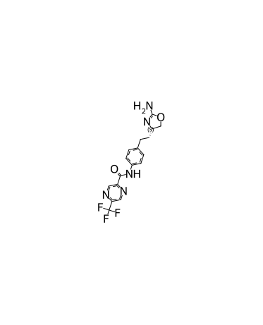 NC1=N[C@@H](CCc2ccc(NC(=O)c3cnc(C(F)(F)F)cn3)cc2)CO1